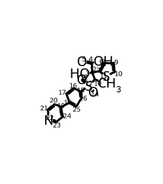 CC(C(O)(C(=O)O)c1cccs1)S(=O)(=O)c1ccc(-c2ccncc2)cc1